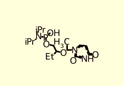 CCC(COP(O)N(C(C)C)C(C)C)OC(C)n1ccc(=O)[nH]c1=O